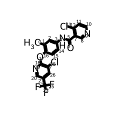 Cc1cc(NC(=O)c2cnccc2Cl)ccc1Oc1ncc(C(F)(F)F)cc1Cl